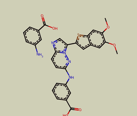 COc1cc2cc(-c3cnc4ccc(Nc5cccc(C(=O)O)c5)nn34)sc2cc1OC.Nc1cccc(C(=O)O)c1